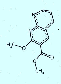 COC(=O)c1cc2cccnc2nc1OC